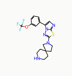 FC(F)(F)Oc1cccc(-c2cnc3sc(N4CCC5(CCNCC5)C4)nn23)c1